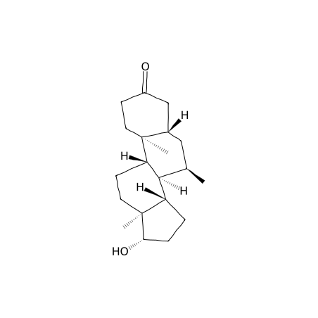 C[C@@H]1C[C@H]2CC(=O)CC[C@]2(C)[C@H]2CC[C@]3(C)[C@@H](O)CC[C@H]3[C@H]12